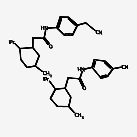 CC1CCC(C(C)C)C(CC(=O)Nc2ccc(C#N)cc2)C1.CC1CCC(C(C)C)C(CC(=O)Nc2ccc(CC#N)cc2)C1